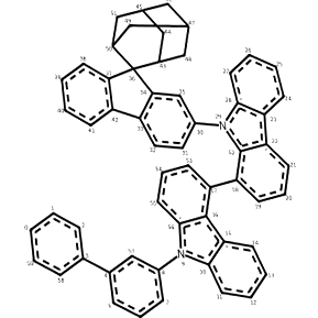 c1ccc(-c2cccc(-n3c4ccccc4c4c(-c5cccc6c7ccccc7n(-c7ccc8c(c7)C7(c9ccccc9-8)C8CC9CC(C8)CC7C9)c56)cccc43)c2)cc1